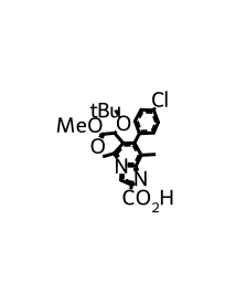 COC(=O)[C@@H](OC(C)(C)C)c1c(-c2ccc(Cl)cc2)c(C)c2nc(C(=O)O)cn2c1C